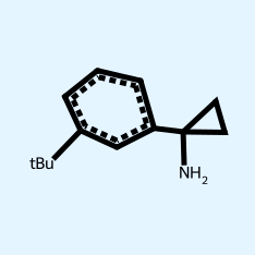 CC(C)(C)c1cccc(C2(N)CC2)c1